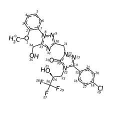 COc1ccccc1-n1nc(Cn2nc(-c3ccc(Cl)cc3)n(C[C@H](O)C(F)(F)F)c2=O)nc1CO